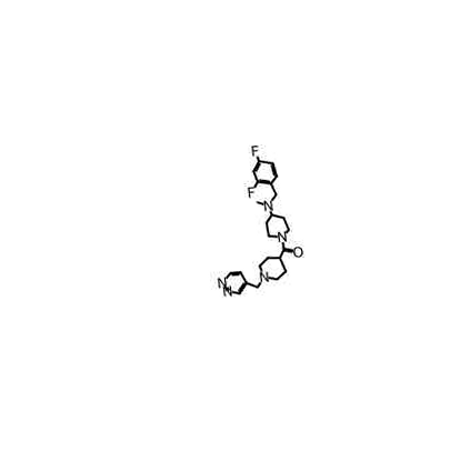 CN(Cc1ccc(F)cc1F)C1CCN(C(=O)C2CCN(Cc3ccnnc3)CC2)CC1